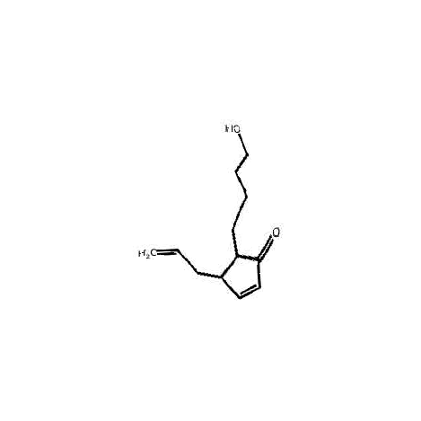 C=CCC1C=CC(=O)C1CCCCO